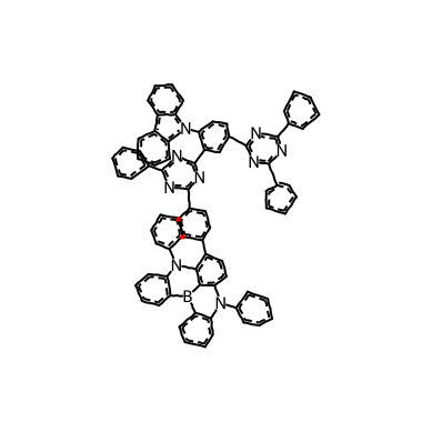 c1ccc(-c2nc(-c3ccccc3)nc(-c3ccc(-n4c5ccccc5c5ccccc54)c(-c4nc(-c5ccccc5)nc(-c5ccc(-c6ccc7c8c6N(c6ccccc6)c6ccccc6B8c6ccccc6N7c6ccccc6)cc5)n4)c3)n2)cc1